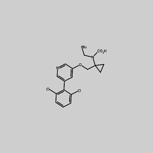 CC(C)(C)CN(C(=O)O)C1(COc2cncc(-c3c(Cl)cccc3Cl)c2)CC1